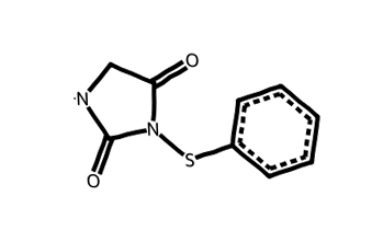 O=C1C[N]C(=O)N1Sc1ccccc1